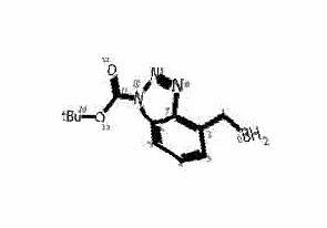 BCc1cccc2c1nnn2C(=O)OC(C)(C)C